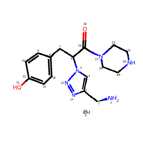 CC[C@H](C)[C@H](N)c1cn(C(Cc2ccc(O)cc2)C(=O)N2CCNCC2)nn1